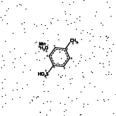 Cc1ccc(S(=O)(=O)O)cc1.O.[Mn]